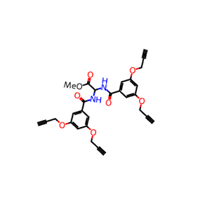 C#CCOc1cc(OCC#C)cc(C(=O)NC(NC(=O)c2cc(OCC#C)cc(OCC#C)c2)C(=O)OC)c1